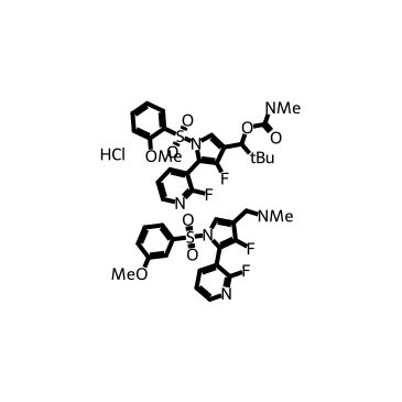 CNC(=O)OC(c1cn(S(=O)(=O)c2ccccc2OC)c(-c2cccnc2F)c1F)C(C)(C)C.CNCc1cn(S(=O)(=O)c2cccc(OC)c2)c(-c2cccnc2F)c1F.Cl